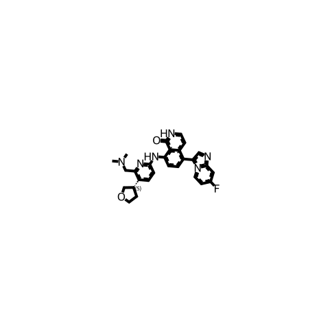 CN(C)Cc1nc(Nc2ccc(-c3cnc4cc(F)ccn34)c3cc[nH]c(=O)c23)ccc1[C@@H]1CCOC1